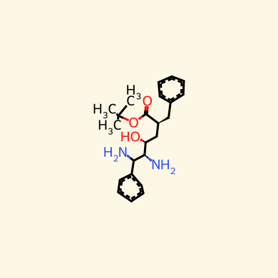 CC(C)(C)OC(=O)[C@@H](Cc1ccccc1)C[C@H](O)[C@@H](N)C(N)c1ccccc1